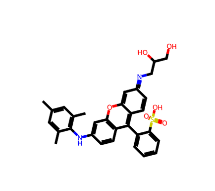 Cc1cc(C)c(Nc2ccc3c(-c4ccccc4S(=O)(=O)O)c4cc/c(=N\CC(O)CO)cc-4oc3c2)c(C)c1